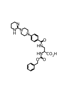 O=C(N[C@@H](CNC(=O)c1ccc(N2CCN(C3=NCCCN3)CC2)cc1)C(=O)O)OCc1ccccc1